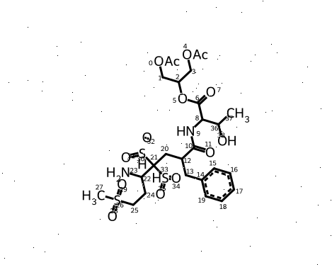 CC(=O)OCC(COC(C)=O)OC(=O)C(NC(=O)C(Cc1ccccc1)CC(C(N)CCS(C)(=O)=O)([SH](=O)=O)[SH](=O)=O)C(C)O